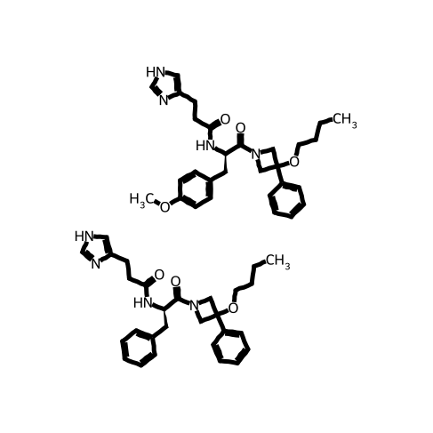 CCCCOC1(c2ccccc2)CN(C(=O)[C@@H](Cc2ccc(OC)cc2)NC(=O)CCc2c[nH]cn2)C1.CCCCOC1(c2ccccc2)CN(C(=O)[C@@H](Cc2ccccc2)NC(=O)CCc2c[nH]cn2)C1